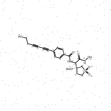 CO[C@@]1(C(NC(=O)c2ccc(C#CC#CCCO)cc2)C(=O)NO)CCS(=O)(=O)C1